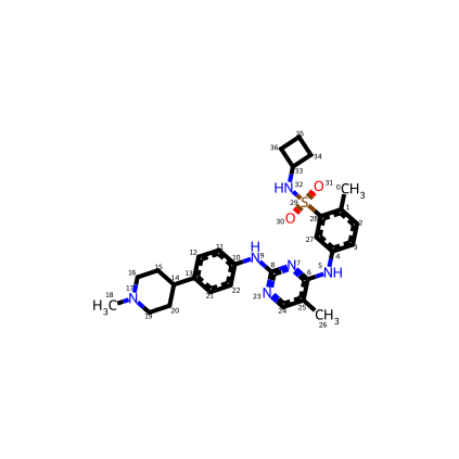 Cc1ccc(Nc2nc(Nc3ccc(C4CCN(C)CC4)cc3)ncc2C)cc1S(=O)(=O)NC1CCC1